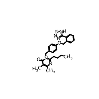 CCCCc1nc(C)c(C)c(=O)n1Cc1ccc(OCc2ccccc2-c2nnn[nH]2)cc1